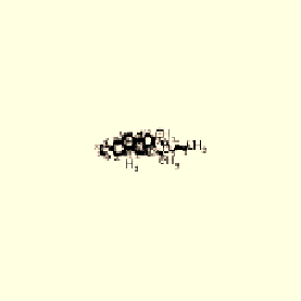 CCCCOC(C)O[C@]1(C#N)[C@@H](C)C[C@H]2[C@@H]3CCC4=CC5(CC[C@]4(C)[C@@]3(O)CC[C@@]21C)SCCS5